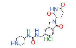 Cl.O=C1CCC(N2Cc3cc(CNC(=O)NC4CCNCC4)ccc3C2=O)C(=O)N1